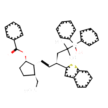 CC(C)(C[C@H](/C=C/[C@@H]1[C@@H](CC(=O)O)CC[C@H]1OC(=O)c1ccccc1)c1cc2ccccc2s1)[Si](O)(c1ccccc1)c1ccccc1